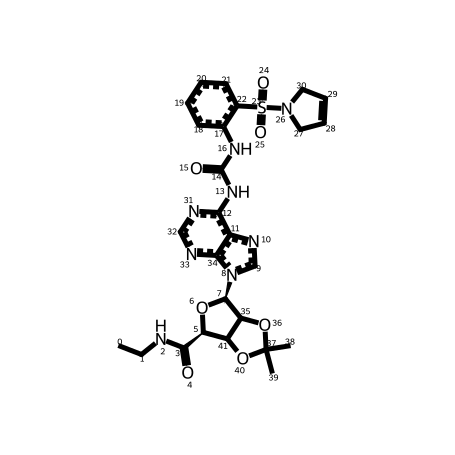 CCNC(=O)[C@H]1O[C@@H](n2cnc3c(NC(=O)Nc4ccccc4S(=O)(=O)N4CC=CC4)ncnc32)C2OC(C)(C)OC21